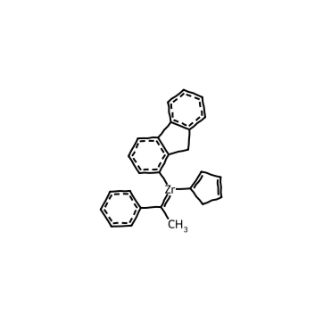 C/[C](c1ccccc1)=[Zr](\[C]1=CC=CC1)[c]1cccc2c1Cc1ccccc1-2